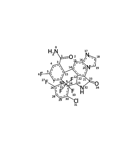 NC(=O)c1cc(F)cc(C(F)(F)F)c1-c1cc2nccn2c2c1C(c1cc(F)ccc1Cl)NC2=O